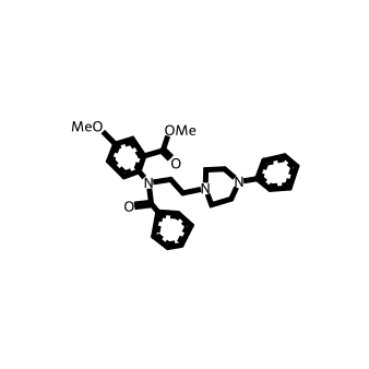 COC(=O)c1cc(OC)ccc1N(CCN1CCN(c2ccccc2)CC1)C(=O)c1ccccc1